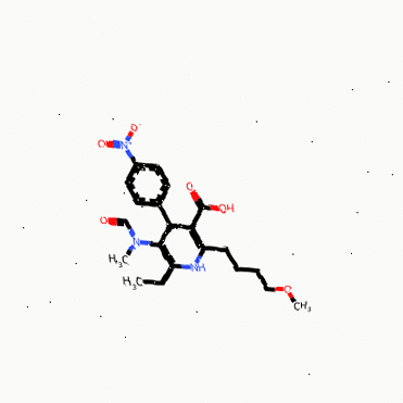 CCC1=C(N(C)C=O)C(c2ccc([N+](=O)[O-])cc2)C(C(=O)O)=C(CCCCOC)N1